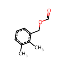 Cc1cccc(CO[C]=O)c1C